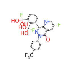 O=c1c2cc(F)cnc2c(-c2cccc(C(O)(O)F)c2C(O)(O)F)nn1-c1ccc(C(F)(F)F)cc1